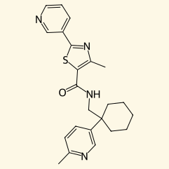 Cc1ccc(C2(CNC(=O)c3sc(-c4cccnc4)nc3C)CCCCC2)cn1